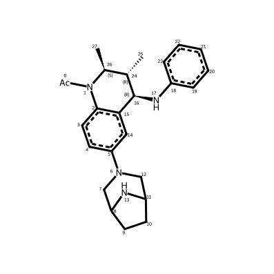 CC(=O)N1c2ccc(N3CC4CCC(C3)N4)cc2[C@H](Nc2ccccc2)[C@@H](C)[C@@H]1C